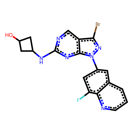 OC1CC(Nc2ncc3c(Br)nn(-c4cc(F)c5ncccc5c4)c3n2)C1